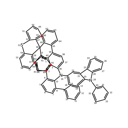 c1ccc(-c2cccc(-c3ccccc3)c2N(c2ccc3c(c2)c2ccccc2n3-c2ccccc2)c2ccc3c4c(cccc24)C2(c4ccccc4Sc4ccccc42)c2ccccc2-3)cc1